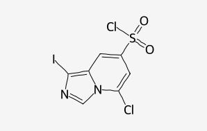 O=S(=O)(Cl)c1cc(Cl)n2cnc(I)c2c1